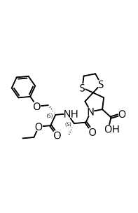 CCOC(=O)[C@H](COc1ccccc1)N[C@@H](C)C(=O)N1CC2(CC1C(=O)O)SCCS2